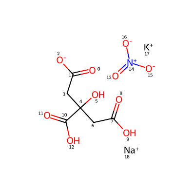 O=C([O-])CC(O)(CC(=O)O)C(=O)O.O=[N+]([O-])[O-].[K+].[Na+]